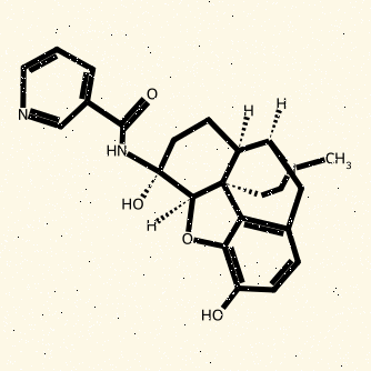 CN1CC[C@]23c4c5ccc(O)c4O[C@H]2[C@@](O)(NC(=O)c2cccnc2)CC[C@H]3[C@H]1C5